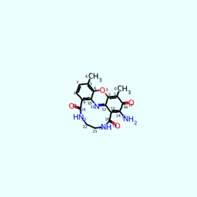 Cc1c2oc3c(C)ccc4c3nc-2c(c(N)c1=O)C(=O)NCCNC4=O